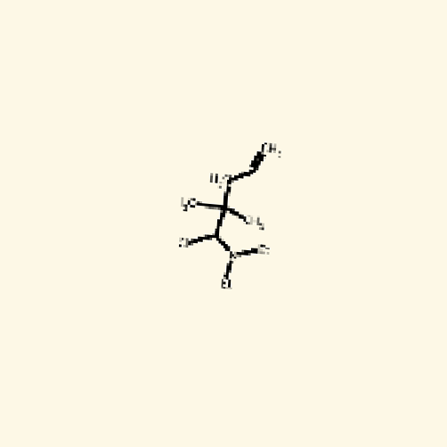 C=C[SiH2]C(C)(C)C(Cl)N(CC)CC